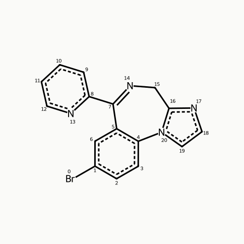 Brc1ccc2c(c1)C(c1ccccn1)=NCc1nccn1-2